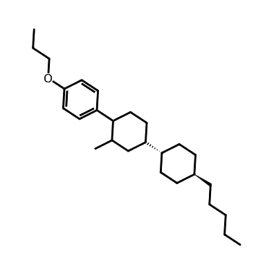 CCCCC[C@H]1CC[C@H](C2CCC(c3ccc(OCCC)cc3)C(C)C2)CC1